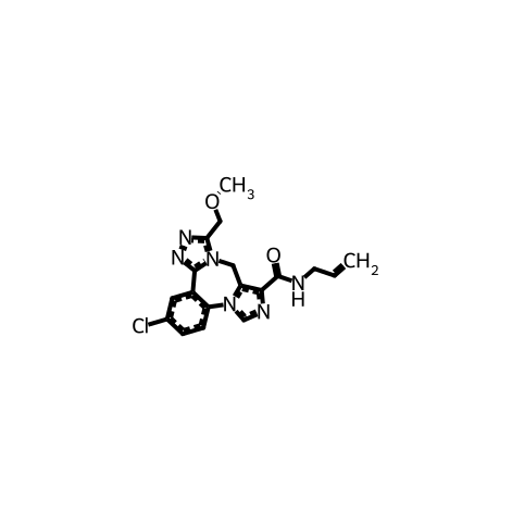 C=CCNC(=O)c1ncn2c1Cn1c(COC)nnc1-c1cc(Cl)ccc1-2